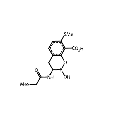 CSCC(=O)N[C@H]1Cc2ccc(SC)c(C(=O)O)c2OB1O